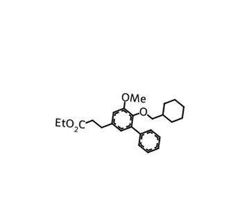 CCOC(=O)CCc1cc(OC)c(OCC2CCCCC2)c(-c2ccccc2)c1